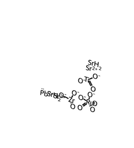 [O]=[Ru](=[O])(=[O])([O-])[O-].[O]=[Ti]([O-])[O-].[O]=[Zr]([O-])[O-].[Pb+2].[Sr+2].[Sr+2].[SrH2].[SrH2]